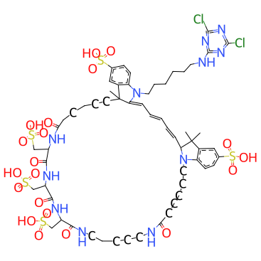 CC12CCCCCC(=O)NC(CS(=O)(=O)O)C(=O)NC(CS(=O)(=O)O)C(=O)NC(CS(=O)(=O)O)C(=O)NCCCCCNC(=O)CCCCCN3c4ccc(S(=O)(=O)O)cc4C(C)(C)C3/C=C/C=C/C=C/1N(CCCCCCNc1nc(Cl)nc(Cl)n1)c1ccc(S(=O)(=O)O)cc12